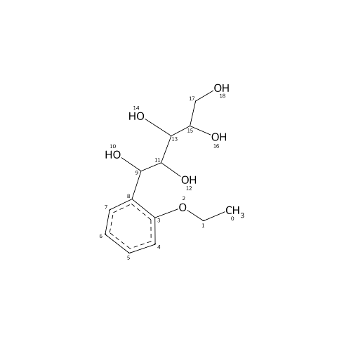 CCOc1ccccc1C(O)C(O)C(O)C(O)CO